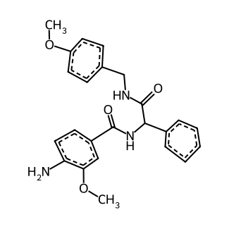 COc1ccc(CNC(=O)C(NC(=O)c2ccc(N)c(OC)c2)c2ccccc2)cc1